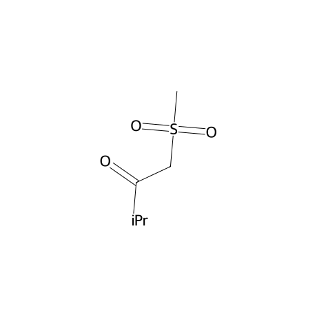 CC(C)C(=O)CS(C)(=O)=O